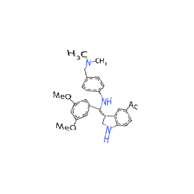 COc1cc(OC)cc(C(Nc2ccc(CN(C)C)cc2)=C2CNc3ccc(C(C)=O)cc32)c1